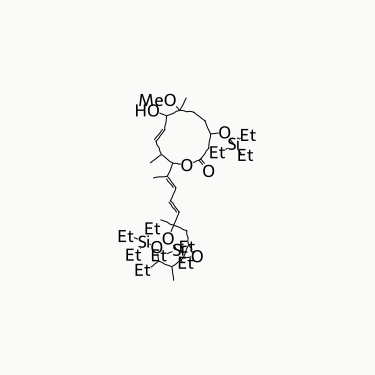 CCC(O[Si](CC)(CC)CC)C(C)C1OC1CC(C)(/C=C/C=C(\C)C1OC(=O)CC(O[Si](CC)(CC)CC)CCC(C)(OC)C(O)/C=C/C1C)O[Si](CC)(CC)CC